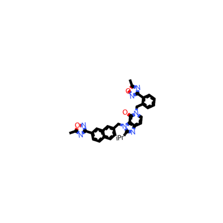 Cc1nc(-c2ccc3ccc(Cn4c(C(C)C)nc5ccn(Cc6ccccc6-c6noc(C)n6)c(=O)c54)cc3c2)no1